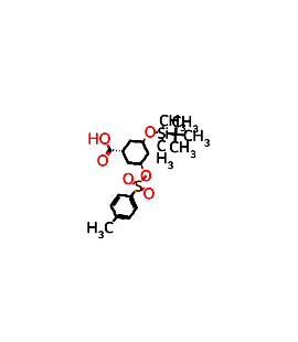 Cc1ccc(S(=O)(=O)O[C@H]2C[C@@H](O[Si](C)(C)C(C)(C)C)C[C@@H](C(=O)O)C2)cc1